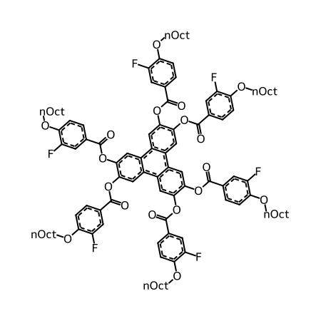 CCCCCCCCOc1ccc(C(=O)Oc2cc3c4cc(OC(=O)c5ccc(OCCCCCCCC)c(F)c5)c(OC(=O)c5ccc(OCCCCCCCC)c(F)c5)cc4c4cc(OC(=O)c5ccc(OCCCCCCCC)c(F)c5)c(OC(=O)c5ccc(OCCCCCCCC)c(F)c5)cc4c3cc2OC(=O)c2ccc(OCCCCCCCC)c(F)c2)cc1F